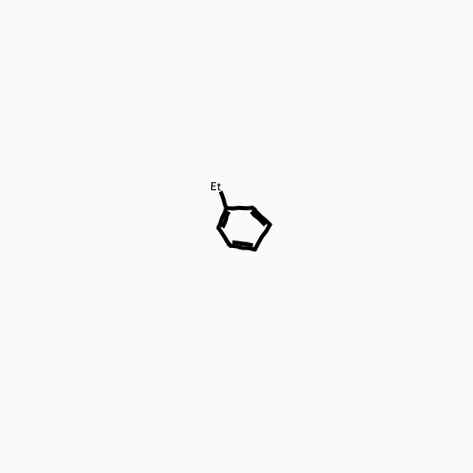 CCc1[c]cc[c]c1